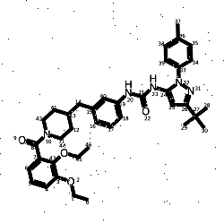 CCOc1cccc(C(=O)N2CCC(Cc3cccc(NC(=O)Nc4cc(C(C)(C)C)nn4-c4ccc(C)cc4)c3)CC2)c1OCC